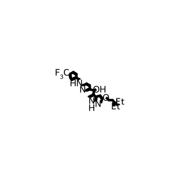 CCN(CC)CCOc1cnc2[nH]cc(C(O)c3ccc(NCc4ccc(C(F)(F)F)cc4)nc3)c2c1